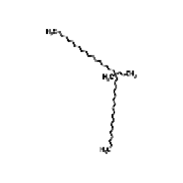 CCCCCCCCCCCCCCCCCCC(C)(CCC)CCCCCCCCCCCCCCCCCC